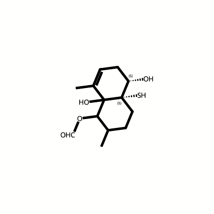 CC1=CC[C@H](O)[C@@]2(S)CCC(C)C(OC=O)C12O